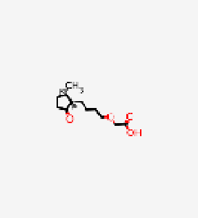 C[C@H]1CCC(=O)[C@@H]1CCCCOCC(=O)O